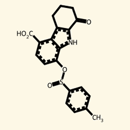 Cc1ccc(S(=O)Oc2ccc(C(=O)O)c3c4c([nH]c23)C(=O)CCC4)cc1